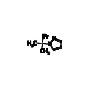 CC(C)C(C)(C)n1cccn1